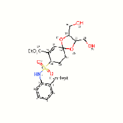 CCCCCCCc1ccccc1NS(=O)(=O)C1CCC2(C=C1C(=O)OCC)OC(CO)C(CO)O2